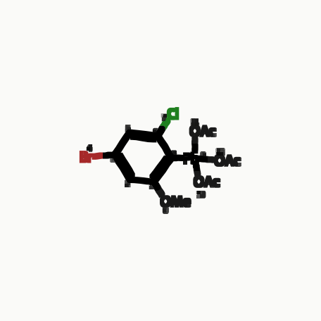 COc1cc(Br)cc(Cl)[c]1[Pb]([O]C(C)=O)([O]C(C)=O)[O]C(C)=O